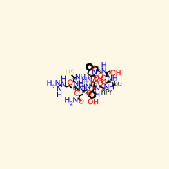 CCC[C@H](NC(=O)[C@@H](NC(=O)[C@H](CO)NC(=O)[C@@H]1CCCN1C(=O)[C@H](Cc1ccccc1)NC(=O)[C@H](Cc1ccc(O)cc1)NC(=O)[C@H](CCC(N)=O)NC(=O)[C@H](CCCNC(=N)N)NC(=O)[C@@H](N)CS)[C@@H](C)CC)C(=O)N[C@@H](CS)C(=O)O